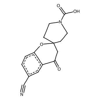 N#Cc1ccc2c(c1)C(=O)CC1(CCN(C(=O)O)CC1)O2